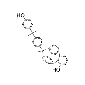 CC(C)(c1ccc(O)cc1)c1ccc(C2(C)c3ccc(cc3)-c3cccc(O)c3-c3ccc2cc3)cc1